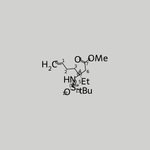 C=CCC[C@@](CC)(CC(=O)OC)N[S@+]([O-])C(C)(C)C